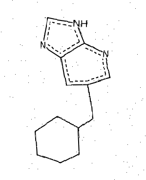 [c]1nc2cc(CC3CCCCC3)cnc2[nH]1